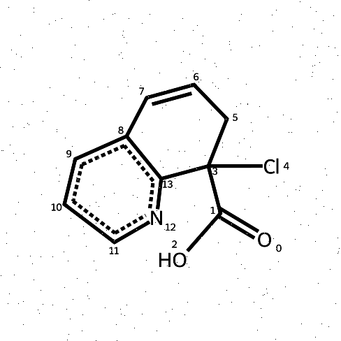 O=C(O)C1(Cl)CC=Cc2cccnc21